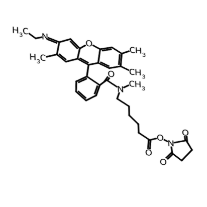 CC/N=c1/cc2oc3cc(C)c(C)cc3c(-c3ccccc3C(=O)N(C)CCCCCC(=O)ON3C(=O)CCC3=O)c-2cc1C